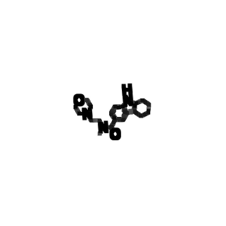 CN(CCN1CCOCC1)C(=O)c1ccc2[nH]c3c(c2c1)CCCC3